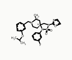 CC(C)Oc1cccc(CN2CC[C@@]3(C[C@@H]2C)CN(c2ncco2)S(=O)(=O)N3c2cccc(F)c2)c1